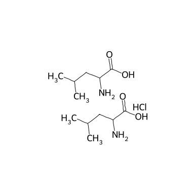 CC(C)CC(N)C(=O)O.CC(C)CC(N)C(=O)O.Cl